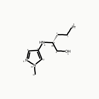 CC(C)CC[C@H](CO)Nc1cnn(C)c1